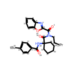 CC(C)CCN(C(=O)c1nc2ccccc2o1)C(=O)C1(NC(=O)c2ccc(C(C)(C)C)cc2)CCCCC1